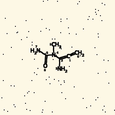 C=C=C(N)N(C)C(N)=O